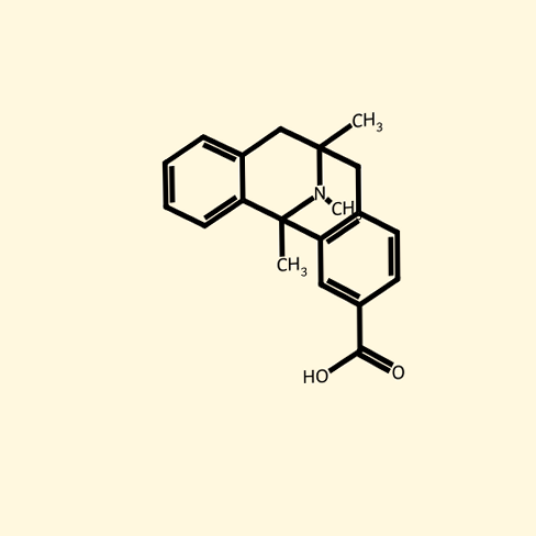 CN1C2(C)Cc3ccccc3C1(C)c1cc(C(=O)O)ccc1C2